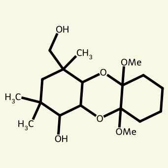 COC12CCCCC1(OC)OC1C(O2)C(O)C(C)(C)CC1(C)CO